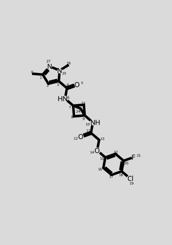 Cc1cc(C(=O)NC23CC(NC(=O)COc4ccc(Cl)c(F)c4)(C2)C3)n(C)n1